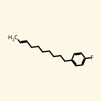 [CH2]C=CCCCCCCCc1ccc(F)cc1